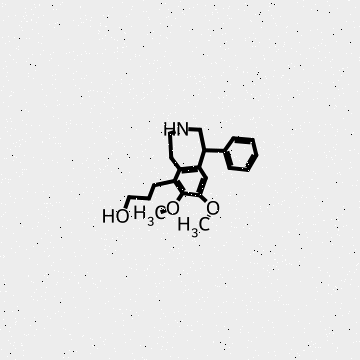 COc1cc2c(c(CCCO)c1OC)CCNCC2c1ccccc1